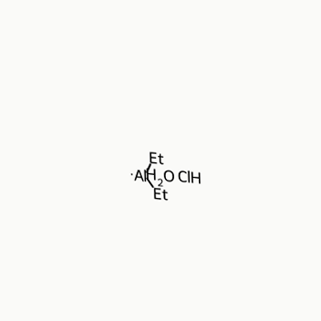 C[CH2][Al][CH2]C.Cl.O